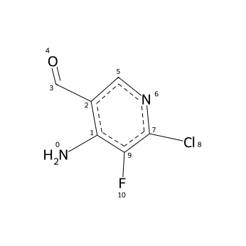 Nc1c(C=O)cnc(Cl)c1F